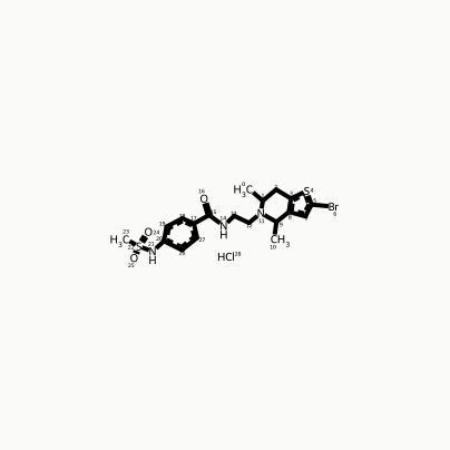 CC1Cc2sc(Br)cc2C(C)N1CCNC(=O)c1ccc(NS(C)(=O)=O)cc1.Cl